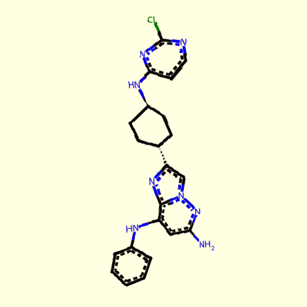 Nc1cc(Nc2ccccc2)c2nc([C@H]3CC[C@H](Nc4ccnc(Cl)n4)CC3)cn2n1